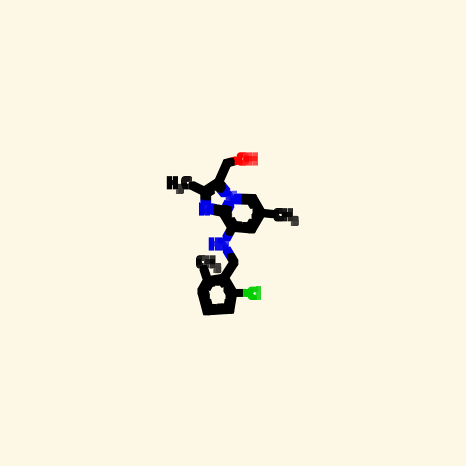 Cc1cc(NCc2c(C)cccc2Cl)c2nc(C)c(CO)n2c1